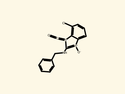 O=C=S1C(NCc2ccccc2)=[N+]([O-])c2cccc(Cl)c21